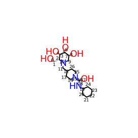 OC[C@@H]1[C@@H](O)[C@H](O)[C@@H](O)CN1CC1CCN(C(O)NC2CCCCC2)CC1